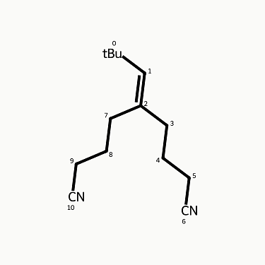 CC(C)(C)C=C(CCCC#N)CCCC#N